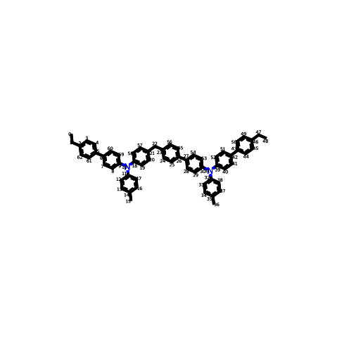 CCc1ccc(-c2ccc(N(c3ccc(C)cc3)c3ccc(Cc4ccc(-c5ccc(N(c6ccc(C)cc6)c6ccc(-c7ccc(CC)cc7)cc6)cc5)cc4)cc3)cc2)cc1